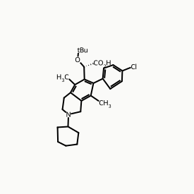 Cc1c2c(c(C)c([C@H](OC(C)(C)C)C(=O)O)c1-c1ccc(Cl)cc1)CCN(C1CCCCC1)C2